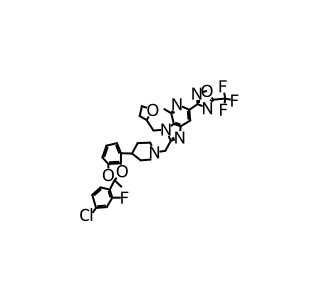 Cc1nc(-c2noc(C(F)(F)F)n2)cc2nc(CN3CCC(c4cccc5c4OC(C)(c4ccc(Cl)cc4F)O5)CC3)n(CC3CCO3)c12